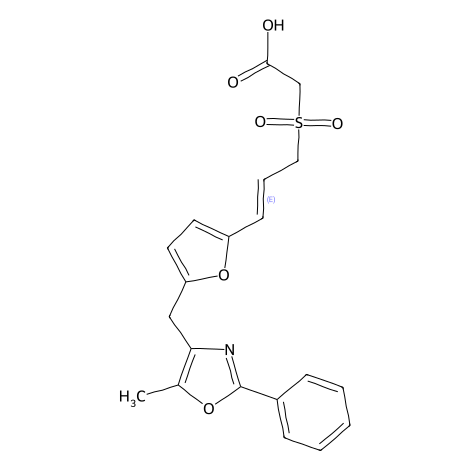 Cc1oc(-c2ccccc2)nc1Cc1ccc(/C=C/CS(=O)(=O)CC(=O)O)o1